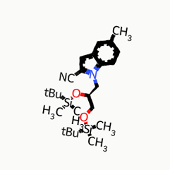 Cc1ccc2c(c1)cc(C#N)n2C[C@@H](CO[Si](C)(C)C(C)(C)C)O[Si](C)(C)C(C)(C)C